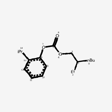 CCCCC(CC)COC(=O)Oc1ccccc1C(C)C